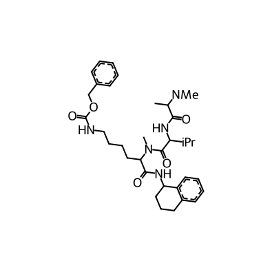 CNC(C)C(=O)NC(C(=O)N(C)C(CCCCNC(=O)OCc1ccccc1)C(=O)NC1CCCc2ccccc21)C(C)C